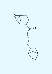 CC12CCC(C(=O)OCCC3CC4CCC3C4)CC1O2